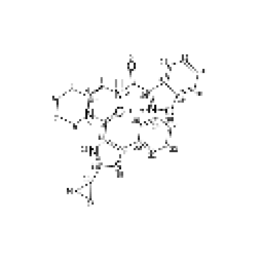 O=C(NC[C@@H]1CCCCN1C(=O)c1nc(C2CC2)sc1-c1ccccc1)c1noc2ccccc12